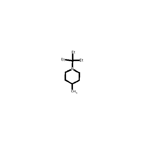 CCC(CC)(CC)N1CCC(C)CC1